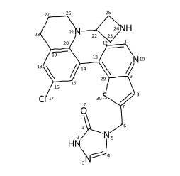 O=c1[nH]ncn1Cc1cc2nccc(-c3cc(Cl)cc4c3N(C3CNC3)CCC4)c2s1